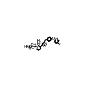 NC1C(c2cc(Cc3ccc(Oc4ccc(F)cn4)cc3)no2)=CC=CN1COP(=O)(O)O